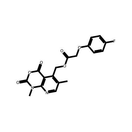 Cc1cnc2c(c1COC(=O)COc1ccc(F)cc1)c(=O)oc(=O)n2C